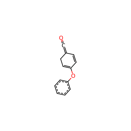 O=C=C1C=CC(Oc2ccccc2)=CC1